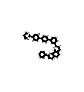 c1ccc(-c2ccc3ccc4ccc(-c5cccc(-c6ccc(-c7ccc(-c8ncccn8)cc7)cc6)c5)nc4c3n2)cc1